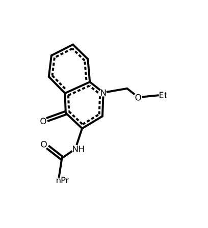 CCCC(=O)Nc1cn(COCC)c2ccccc2c1=O